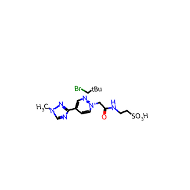 CC(C)(C)CBr.Cn1cnc(-c2cc[n+](CC(=O)NCCS(=O)(=O)O)nc2)n1